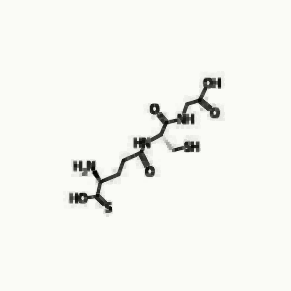 N[C@@H](CCC(=O)N[C@@H](CS)C(=O)NCC(=O)O)C(O)=S